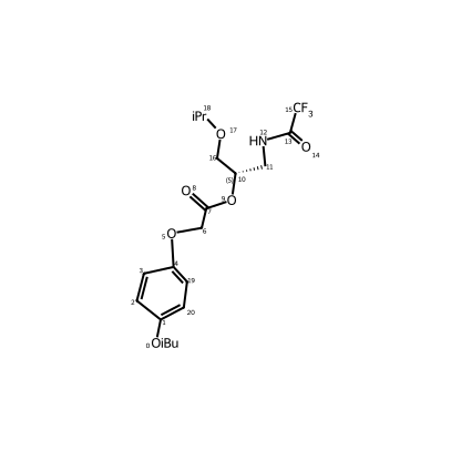 CC(C)COc1ccc(OCC(=O)O[C@@H](CNC(=O)C(F)(F)F)COC(C)C)cc1